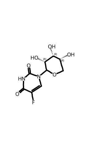 O=c1[nH]c(=O)n(C2OC[C@@H](O)[C@@H](O)[C@H]2O)cc1F